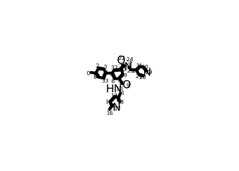 Cc1ccc(-c2cc(C(=O)NCc3ccc(C)nc3)cc(C(=O)N(C)Cc3ccncc3)c2)cc1